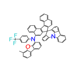 Cc1cccc2c1oc1c(N(c3ccc(C(F)(F)F)cc3)c3cc4c(c5ccccc35)-c3c(ccc5ccccc35)C43c4ccccc4-n4c5ccccc5c5cccc3c54)cccc12